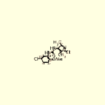 CCn1nc(C)c(NC(=S)Nc2cc(Cl)ccc2OC)c1C